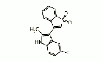 Cc1[nH]c2ccc(F)cc2c1C1=CS(=O)(=O)c2ccccc21